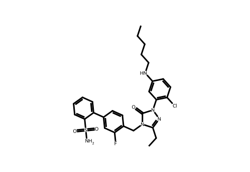 CCCCCNc1ccc(Cl)c(-n2nc(CC)n(Cc3ccc(-c4ccccc4S(N)(=O)=O)cc3F)c2=O)c1